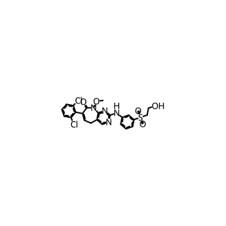 CON1C(=O)C(c2c(Cl)cccc2Cl)=CCc2cnc(Nc3cccc(S(=O)(=O)CCO)c3)nc21